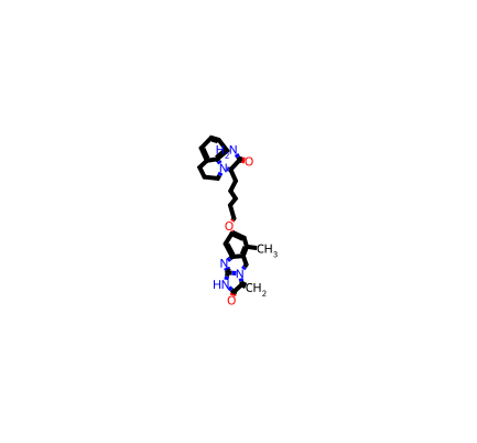 C=c1c(=O)[nH]c2n1Cc1c(C)cc(OCCCCCC(C(N)=O)N3CCCc4ccccc43)cc1N=2